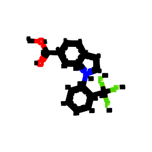 COC(=O)c1ccc2ccn(-c3ccccc3C(F)(F)F)c2c1